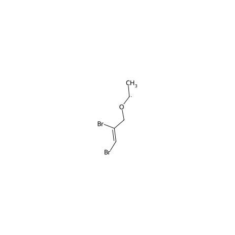 C[CH]OCC(Br)=CBr